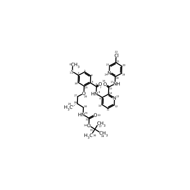 CSc1ccc(C(=O)Nc2cccnc2C(=O)Nc2ccc(Cl)cn2)c(OC[C@@H](C)CNC(=O)OC(C)(C)C)c1